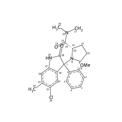 COc1ccccc1C1(N2CCC[C@H]2C(=O)N(C)C)C(=O)Nc2cc(C)c(Cl)cc21